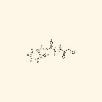 O=C(CCl)NNC(=O)c1cc2ccccc2s1